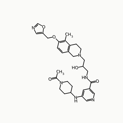 CC(=O)N1CCC(Nc2cncc(C(=O)NCC(O)CN3CCc4c(ccc(OCc5cnco5)c4C)C3)c2)CC1